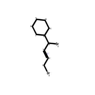 BrC/C=C/C(Br)C1CCCCC1